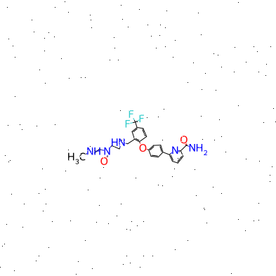 CNCCN(C=O)CCNCc1cc(C(F)(F)F)ccc1Oc1ccc(-c2cccc(C(N)=O)n2)cc1